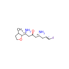 CC1CCOC1[C@@H](N)CC(=O)C[C@H](N)C/C=C/I